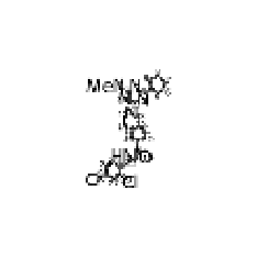 CNc1nc(-c2ccccc2)nc(N2CCc3cc(C(=O)NCc4ccc(Cl)cc4Cl)ccc3C2)n1